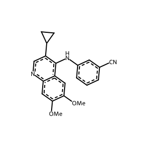 COc1cc2ncc(C3CC3)c(Nc3cccc(C#N)c3)c2cc1OC